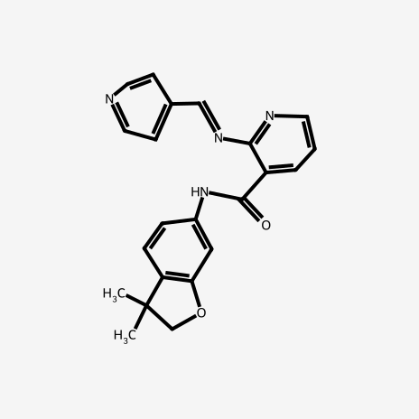 CC1(C)COc2cc(NC(=O)c3cccnc3N=Cc3ccncc3)ccc21